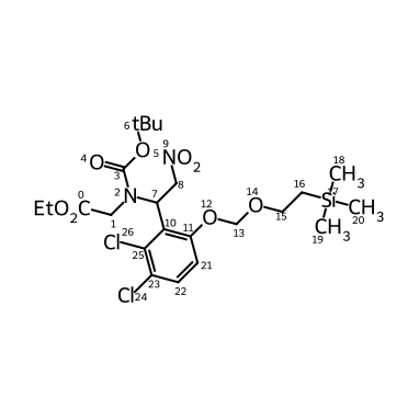 CCOC(=O)CN(C(=O)OC(C)(C)C)C(C[N+](=O)[O-])c1c(OCOCC[Si](C)(C)C)ccc(Cl)c1Cl